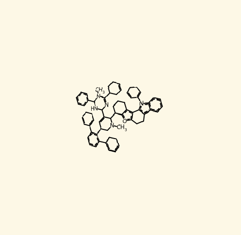 CN1CC(c2c(C3=CCCC=C3)cccc2C2=CC=CCC2)C=C(C2N=C(C3CC=CCC3)N(C)C(c3ccccc3)N2)C1C1CCCc2c1oc1c2-c2c(c3ccccc3n2C2=CCCC=C2)CC1